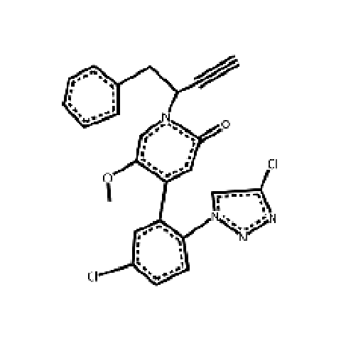 C#CC(Cc1ccccc1)n1cc(OC)c(-c2cc(Cl)ccc2-n2cc(Cl)nn2)cc1=O